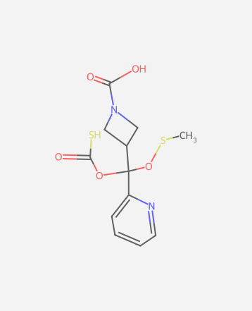 CSOC(OC(=O)S)(c1ccccn1)C1CN(C(=O)O)C1